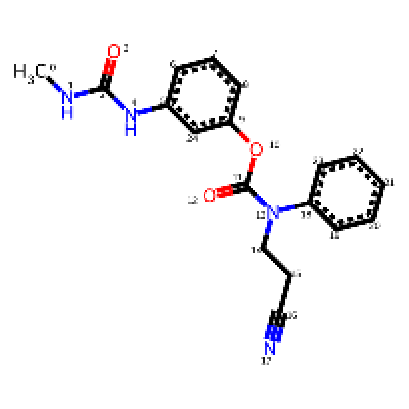 CNC(=O)Nc1cccc(OC(=O)N(CCC#N)c2ccccc2)c1